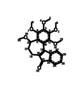 COc1c(OC)c(OC)c2c(c1OC)C1=C(CCC2OC)C(=O)c2ccccc21